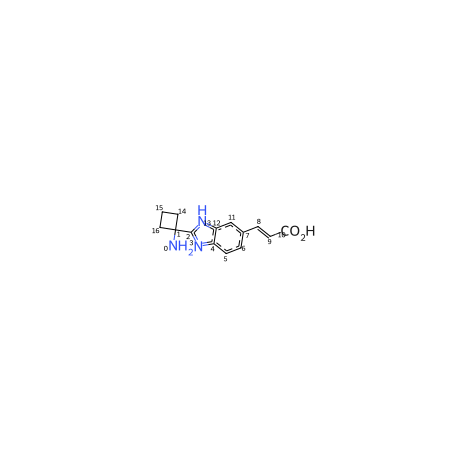 NC1(c2nc3ccc(/C=C/C(=O)O)cc3[nH]2)CCC1